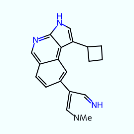 CN/C=C(\C=N)c1ccc2cnc3[nH]cc(C4CCC4)c3c2c1